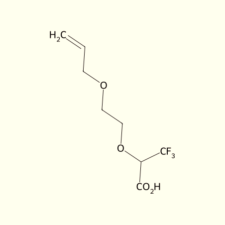 C=CCOCCOC(C(=O)O)C(F)(F)F